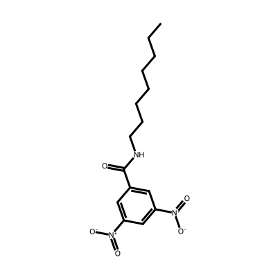 CCCCCCCCNC(=O)c1cc([N+](=O)[O-])cc([N+](=O)[O-])c1